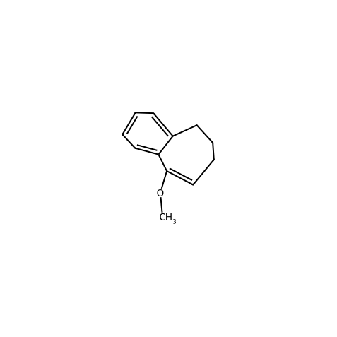 COC1=CCCCc2ccccc21